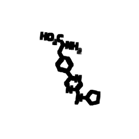 CN(c1cnc(-c2ccc(CC(N)C(=O)O)cc2)cn1)C1CCCC1